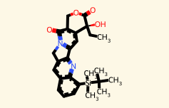 CC[C@@]1(O)C(=O)OCc2c1cc1n(c2=O)Cc2cc3cccc([Si](C)(C)C(C)(C)C)c3nc2-1